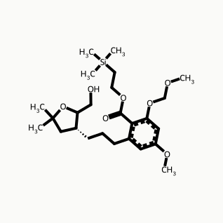 COCOc1cc(OC)cc(CCC[C@@H]2CC(C)(C)OC2CO)c1C(=O)OCC[Si](C)(C)C